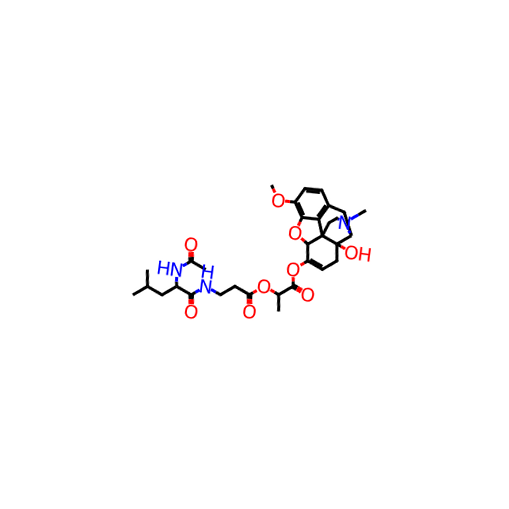 COc1ccc2c3c1OC1C(OC(=O)C(C)OC(=O)CCNC(=O)C(CC(C)C)NC(C)=O)=CCC4(O)C(C2)N(C)CCC314